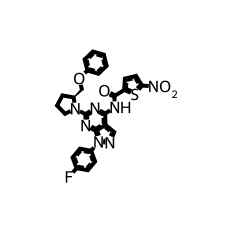 O=C(Nc1nc(N2CCC[C@H]2COc2ccccc2)nc2c1cnn2-c1ccc(F)cc1)c1ccc([N+](=O)[O-])s1